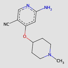 CN1CCC(Oc2cc(N)ncc2C#N)CC1